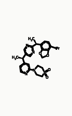 CC(C)c1ccc([C@H](C)c2ncc([C@H](C)c3ccnc(N4CCS(=O)(=O)CC4)c3)cn2)c2c1OCO2